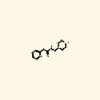 S=C(Cc1ccccn1)NCN1CCOCC1